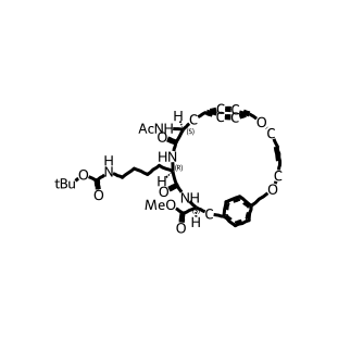 COC(=O)[C@@H]1Cc2ccc(cc2)OCC=CCOc2ccc(cc2)C[C@H](NC(C)=O)C(=O)N[C@H](CCCCNC(=O)OC(C)(C)C)C(=O)N1